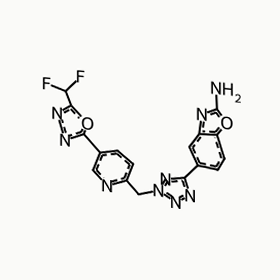 Nc1nc2cc(-c3nnn(Cc4ccc(-c5nnc(C(F)F)o5)cn4)n3)ccc2o1